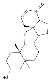 CC12CCC3C4CCC5C(=O)C=CC[C@@]54CCC3[C@@]1(C)CC[C@@H](O)C2